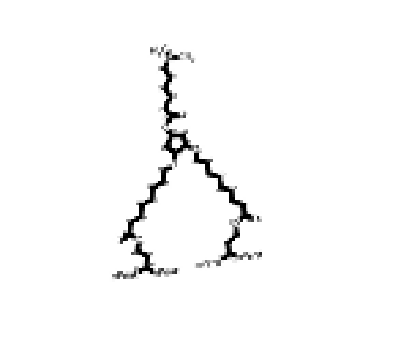 CCCCCC(CCCCC)CCOC(=O)CCCCCCCCOC1CC(OC(=O)CCCCCN(C)C)CC1OCCCCCCCC(=O)OCCC(CCCCC)CCCCC